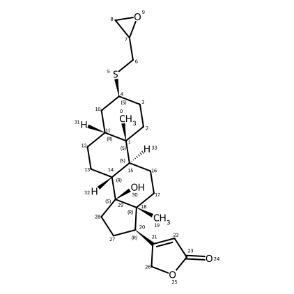 C[C@]12CC[C@H](SCC3CO3)C[C@H]1CC[C@@H]1[C@@H]2CC[C@]2(C)[C@@H](C3=CC(=O)OC3)CC[C@]12O